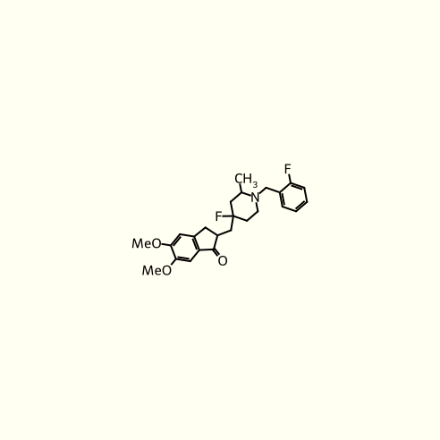 COc1cc2c(cc1OC)C(=O)C(CC1(F)CCN(Cc3ccccc3F)C(C)C1)C2